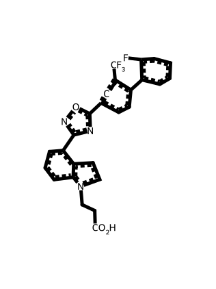 O=C(O)CCn1ccc2c(-c3noc(-c4ccc(-c5ccccc5F)c(C(F)(F)F)c4)n3)cccc21